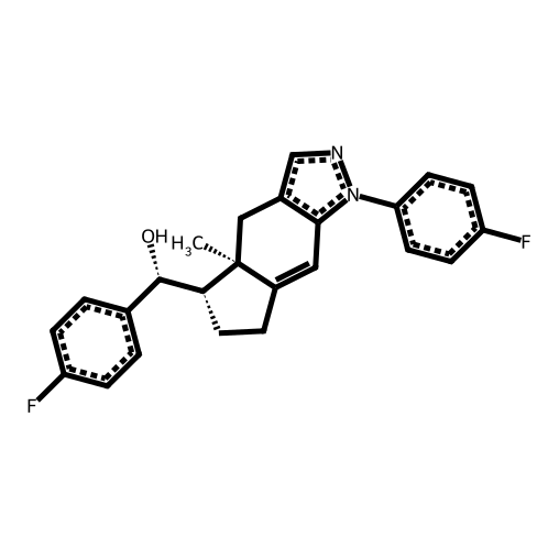 C[C@]12Cc3cnn(-c4ccc(F)cc4)c3C=C1CC[C@@H]2[C@@H](O)c1ccc(F)cc1